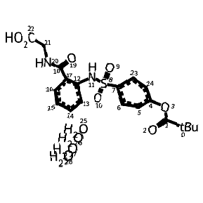 CC(C)(C)C(=O)Oc1ccc(S(=O)(=O)Nc2ccccc2C(=O)NCC(=O)O)cc1.O.O.O.O